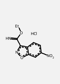 CCOC(=N)c1noc2cc([N+](=O)[O-])ccc12.Cl